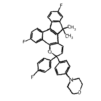 CC1(C)c2cc(F)ccc2-c2c1c1c(c3cc(F)ccc23)OC(c2ccc(F)cc2)(c2ccc(N3CCOCC3)cc2)C=C1